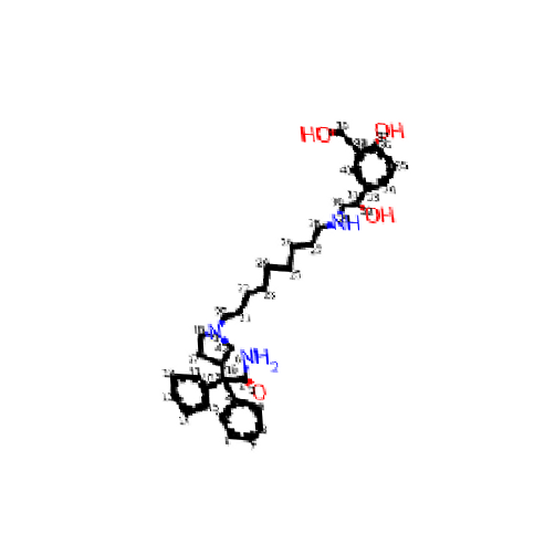 NC(=O)C(c1ccccc1)(c1ccccc1)C1CCN(CCCCCCCCCNCC(O)c2ccc(O)c(CO)c2)C1